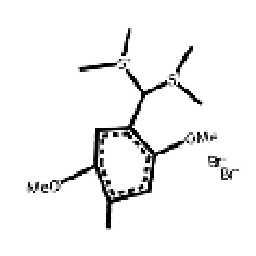 COc1cc(C([S+](C)C)[S+](C)C)c(OC)cc1C.[Br-].[Br-]